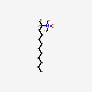 CCCCCCCCCCC(C)[N+](C)(C)[O-]